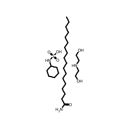 CCCCCCCCCCCCCCCCCC(N)=O.O=S(=O)(O)NC1CCCCC1.OCCNCCO